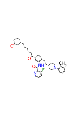 Cc1ccccc1N1CCC(CCc2ccc(C(=O)CCCCCC3CCCC(=O)C3)cc2NC(=O)c2ncccc2F)CC1